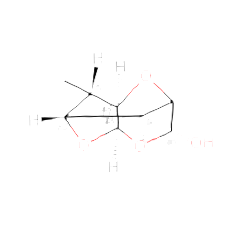 C[C@H]1[C@H]2O[C@@H]3O[C@@H](O)C(O[C@@H]31)[C@@H]2C